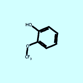 Oc1cc[c]cc1OC(F)(F)F